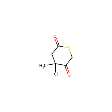 CC1(C)CC(=O)SCC1=O